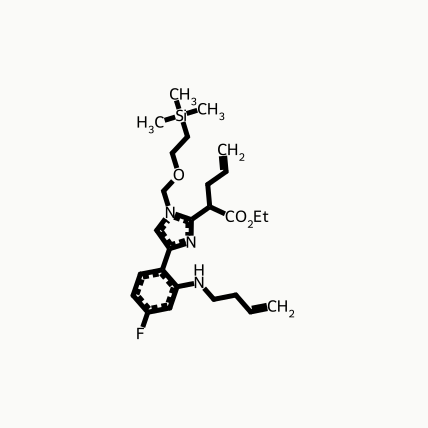 C=CCCNc1cc(F)ccc1-c1cn(COCC[Si](C)(C)C)c(C(CC=C)C(=O)OCC)n1